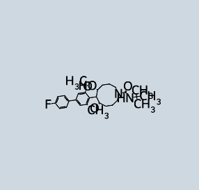 COc1cc(-c2ccc(F)cc2)cc(C)c1C1C(=O)CCCN(C(=O)NC(C)(C)C)CCCC1O